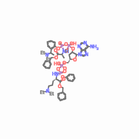 CCN(CC)CCC[C@H](NP(=O)(Oc1ccccc1)OP(=O)(O)OC[C@@H]1CC(OP(=O)(O)OP(=O)(N[C@@H](C)C(=O)OCc2ccccc2)Oc2ccccc2C(C)N(CC)CC)[C@H](n2cnc3c(N)ncnc32)O1)C(=O)OCc1ccccc1